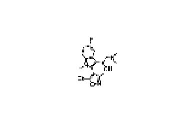 CCc1onc(C)c1-c1c(C(O)CN(C)C)c2cc(F)ccc2n1C